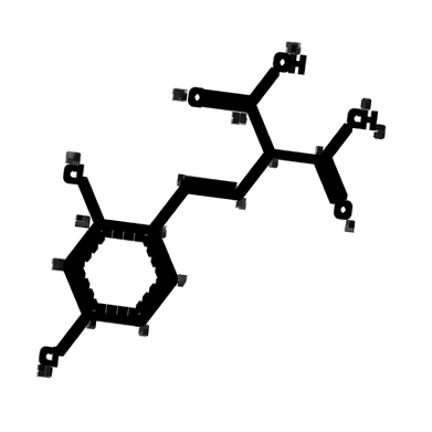 CC(=O)C(C=Cc1ccc(Cl)cc1Cl)C(=O)O